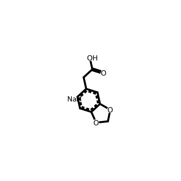 O=C(O)Cc1ccc2c(c1)OCO2.[NaH]